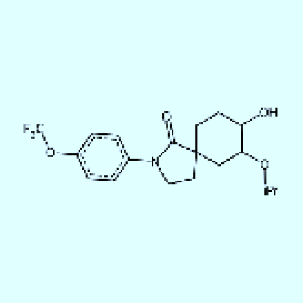 CC(C)OC1CC2(CCC1O)CCN(c1ccc(OC(F)(F)F)cc1)C2=O